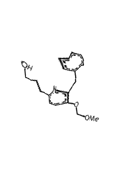 COCOc1ccc(CCCO)nc1Cc1ccccc1